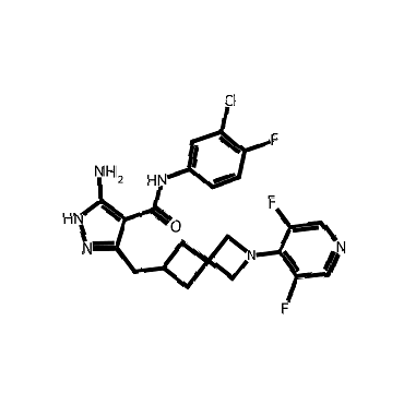 Nc1[nH]nc(CC2CC3(C2)CN(c2c(F)cncc2F)C3)c1C(=O)Nc1ccc(F)c(Cl)c1